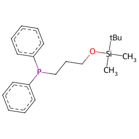 CC(C)(C)[Si](C)(C)OCCCP(c1ccccc1)c1ccccc1